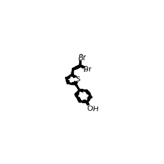 Oc1ccc(-c2ccc(C=C(Br)Br)s2)cc1